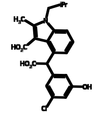 Cc1c(C(=O)O)c2c(C(C(=O)O)c3cc(O)cc(Cl)c3)cccc2n1CC(C)C